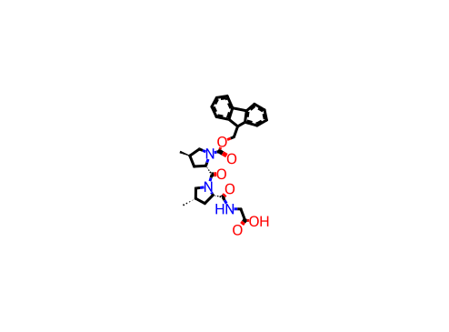 C[C@@H]1C[C@@H](C(=O)N2C[C@@H](C)C[C@H]2C(=O)NCC(=O)O)N(C(=O)OCC2c3ccccc3-c3ccccc32)C1